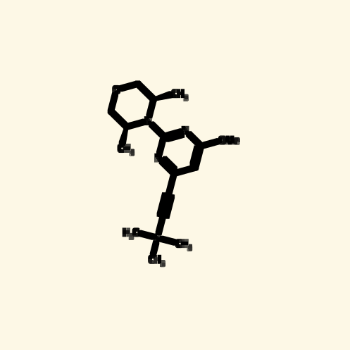 COc1cc(C#C[Si](C)(C)C)nc(N2[C@H](C)COC[C@@H]2C)n1